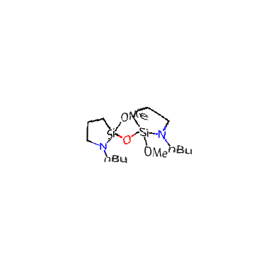 CCCCN1CCC[Si]1(OC)O[Si]1(OC)CCCN1CCCC